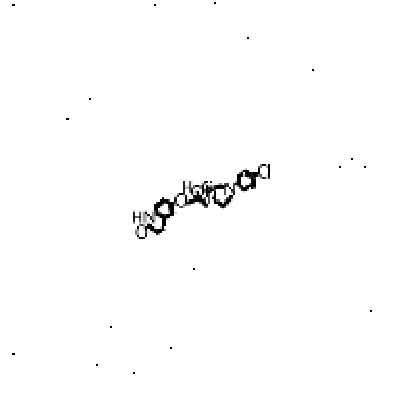 C[C@@H]1CN(c2ccc(Cl)cc2)CCN1C[C@H](O)COc1ccc2c(c1)CCC(=O)N2